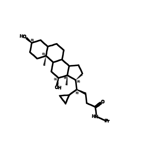 CC(C)NC(=O)CC[C@@H](C1CC1)[C@H]1CCC2C3CCC4C[C@H](O)CC[C@]4(C)C3C[C@H](O)[C@@]21C